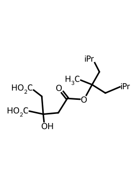 CC(C)CC(C)(CC(C)C)OC(=O)CC(O)(CC(=O)O)C(=O)O